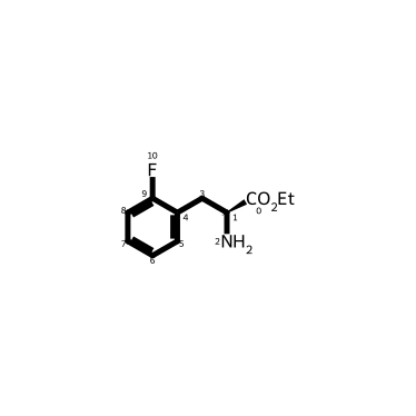 CCOC(=O)[C@@H](N)Cc1ccccc1F